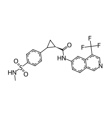 CNS(=O)(=O)c1ccc(C2C[C@H]2C(=O)Nc2ccc3cncc(C(F)(F)F)c3c2)cc1